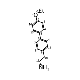 CCOc1[c]cc(-c2ccc(CCN)cc2)cc1